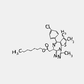 CCCCCCCOC(=O)CC1N=C(c2ccc(Cl)cc2)c2c(sc(C)c2C)-n2c(C)nnc21